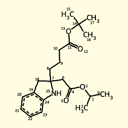 CC(C)OC(=O)CC1(CCCC(=O)OC(C)(C)C)Cc2ccccc2N1